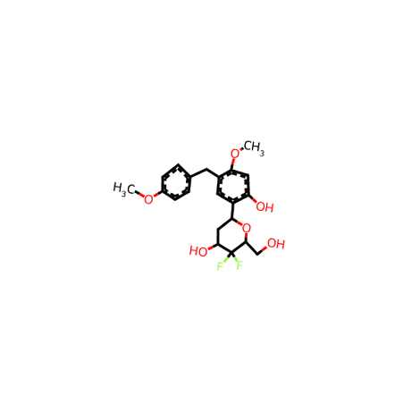 COc1ccc(Cc2cc(C3CC(O)C(F)(F)C(CO)O3)c(O)cc2OC)cc1